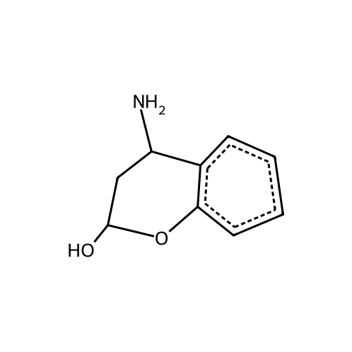 NC1CC(O)Oc2ccccc21